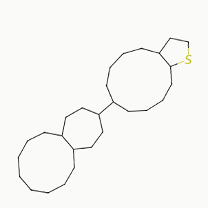 C1CCCCC2CCC(C3CCCCC4CCSC4CCCC3)CCC2CCC1